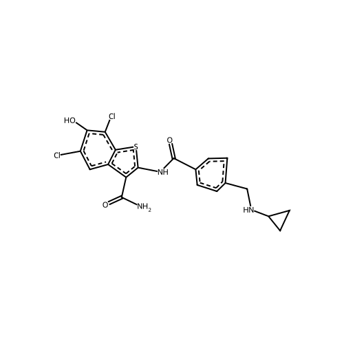 NC(=O)c1c(NC(=O)c2ccc(CNC3CC3)cc2)sc2c(Cl)c(O)c(Cl)cc12